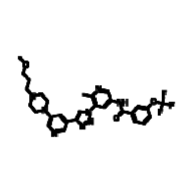 COCCCN1CCN(c2cncc(-c3cn(-c4cc(NC(=O)c5cccc(OC(F)(F)F)c5)cnc4C)nn3)c2)CC1